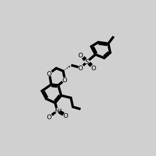 CCCc1c([N+](=O)[O-])ccc2c1O[C@@H](COS(=O)(=O)c1ccc(C)cc1)CO2